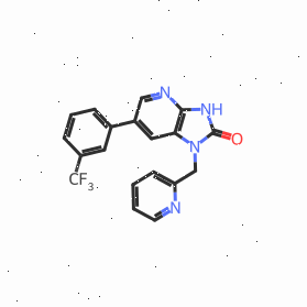 O=c1[nH]c2ncc(-c3cccc(C(F)(F)F)c3)cc2n1Cc1ccccn1